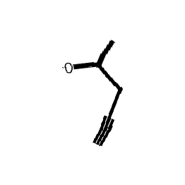 C#CCC(C)[O]